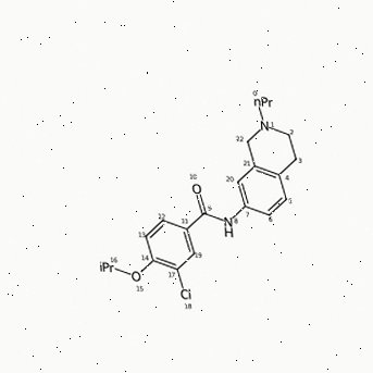 CCCN1CCc2ccc(NC(=O)c3ccc(OC(C)C)c(Cl)c3)cc2C1